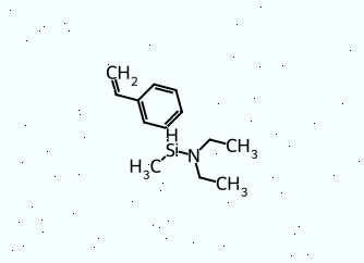 C=Cc1cccc([SiH](C)N(CC)CC)c1